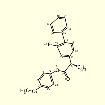 COc1ccc(OC(=O)[C@H](C)c2ccc(-c3ccccc3)c(F)c2)cc1